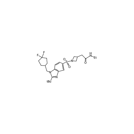 CCNC(=O)CC1CN(S(=O)(=O)c2ccc3c(c2)nc(C(C)(C)C)n3CC2CCC(F)(F)CC2)C1